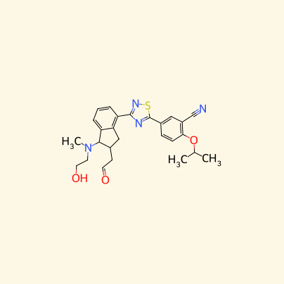 CC(C)Oc1ccc(-c2nc(-c3cccc4c3CC(CC=O)C4N(C)CCO)ns2)cc1C#N